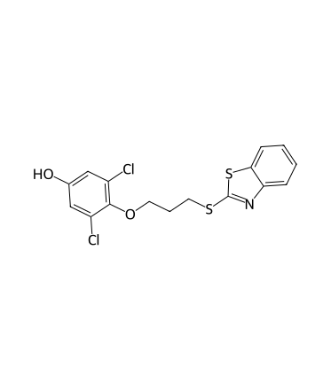 Oc1cc(Cl)c(OCCCSc2nc3ccccc3s2)c(Cl)c1